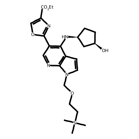 CCOC(=O)c1coc(-c2cnc3c(ccn3COCC[Si](C)(C)C)c2N[C@H]2CC[C@@H](O)C2)n1